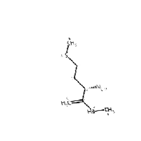 C=C(BC)[C@@H](N)CCSC